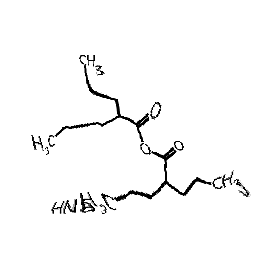 CCCC(CCC)C(=O)OC(=O)C(CCC)CCC.[NaH]